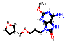 CCCCOc1nc(N)c2[nH]c(=O)n(CCCOC[C@@H]3CCOC3)c2n1